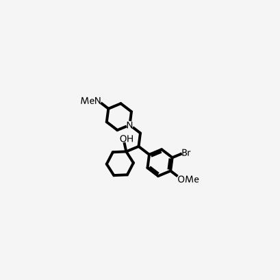 CNC1CCN(CC(c2ccc(OC)c(Br)c2)C2(O)CCCCC2)CC1